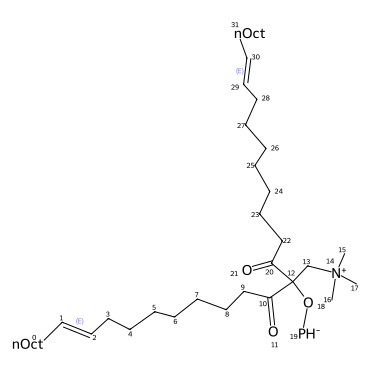 CCCCCCCC/C=C/CCCCCCCC(=O)C(C[N+](C)(C)C)(O[PH-])C(=O)CCCCCCC/C=C/CCCCCCCC